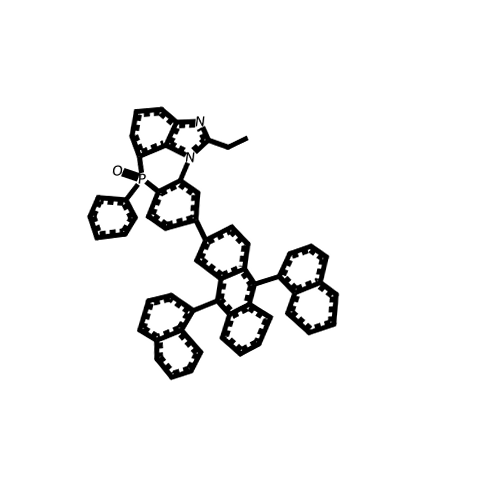 CCc1nc2cccc3c2n1-c1cc(-c2ccc4c(-c5cccc6ccccc56)c5ccccc5c(-c5cccc6ccccc56)c4c2)ccc1P3(=O)c1ccccc1